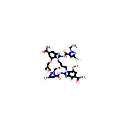 CCn1nc(C)cc1C(=O)Nc1nc2cc(C(N)=O)cc(OCC3COC3)c2n1C/C=C/Cn1c(NC(=O)c2cc(C)nn2CC)nc2c(F)c(C(N)=O)cc(OC)c21